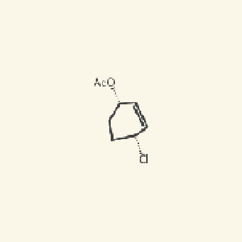 CC(=O)O[C@@H]1C=C[C@H](Cl)CC1